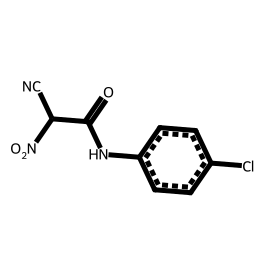 N#CC(C(=O)Nc1ccc(Cl)cc1)[N+](=O)[O-]